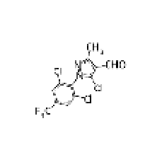 Cc1nn(-c2c(Cl)cc(C(F)(F)F)cc2Cl)c(Cl)c1C=O